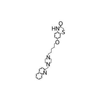 O=C1CSc2cc(OCCCCCN3CCN(Cc4ccc5ccccc5n4)CC3)ccc2N1